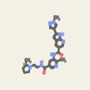 Cc1ncc(C(=O)NCCN2CCC[C@@H]2C)cc1NC(=O)c1cnc2[nH]c(-c3cnn(C)c3)cc2c1